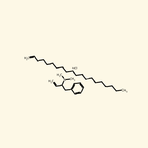 C=CC(Cc1ccccc1)N(C)C.C=CCCCCCCCCCCCCCCCCCC.Cl